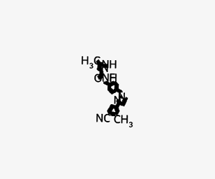 Cc1cc(C(=O)NCc2ccc(Cn3ccc(-c4ccc(C#N)c(C)c4)n3)cc2F)n[nH]1